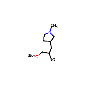 CN1CCC(CC(COC(C)(C)C)N=O)C1